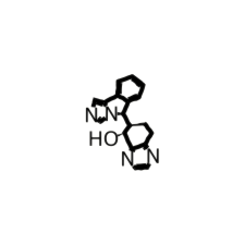 O[C@H]1c2nccnc2CC[C@@H]1[C@@H]1c2ccccc2-c2cncn21